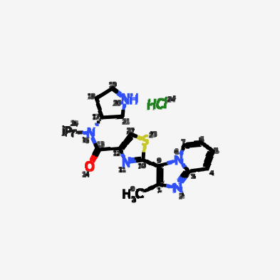 Cc1nc2ccccn2c1-c1nc(C(=O)N(C(C)C)[C@@H]2CCNC2)cs1.Cl